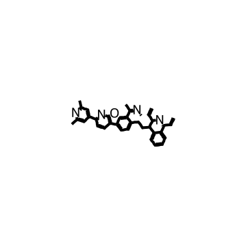 C=CC1=NC(C=C)C(CCc2ccc3c(oc4nc(-c5cc(C)nc(C)c5)ccc43)c2/C(C)=N\C)c2ccccc21